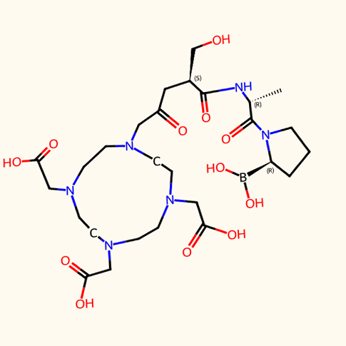 C[C@@H](NC(=O)[C@H](CO)CC(=O)CN1CCN(CC(=O)O)CCN(CC(=O)O)CCN(CC(=O)O)CC1)C(=O)N1CCC[C@H]1B(O)O